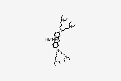 Br.CCN(CC)CCCN(CCCN(CC)CC)c1ccc2c(c1)Sc1cc(N(CCCN(CC)CC)CCCN(CC)CC)ccc1N2